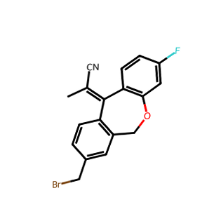 CC(C#N)=C1c2ccc(CBr)cc2COc2cc(F)ccc21